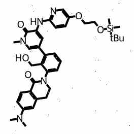 CN(C)c1ccc2c(c1)CCN(c1cccc(-c3cc(Nc4ccc(OCCO[Si](C)(C)C(C)(C)C)cn4)c(=O)n(C)c3)c1CO)C2=O